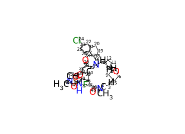 CN1CC[C@H]2CCO[C@@H](C2)[C@@H]2CC[C@H]2CN2C[C@@]3(CCCc4cc(Cl)ccc43)COc3ccc(cc32)[C@](F)(C(=O)NS(=O)(=O)N(C)C)CC1=O